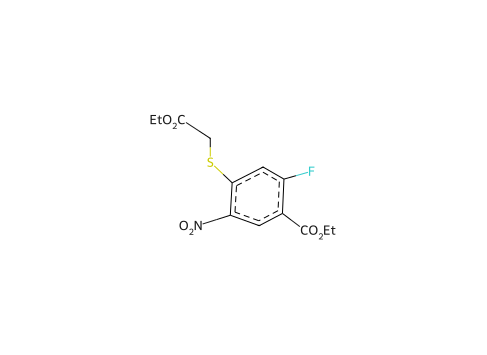 CCOC(=O)CSc1cc(F)c(C(=O)OCC)cc1[N+](=O)[O-]